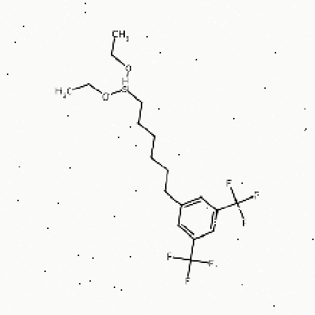 CCO[SiH](CCCCCCc1cc(C(F)(F)F)cc(C(F)(F)F)c1)OCC